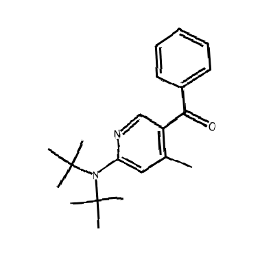 Cc1cc(N(C(C)(C)C)C(C)(C)C)ncc1C(=O)c1ccccc1